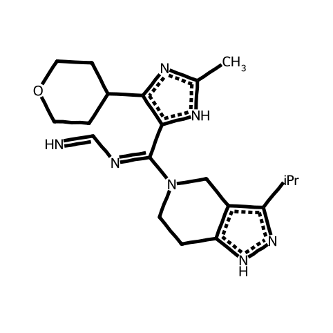 Cc1nc(C2CCOCC2)c(/C(=N\C=N)N2CCc3[nH]nc(C(C)C)c3C2)[nH]1